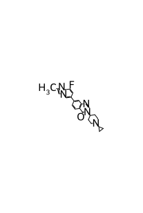 Cc1cn2cc(-c3ccc4c(=O)n(C5CCN(C6CC6)CC5)cnc4c3)cc(F)c2n1